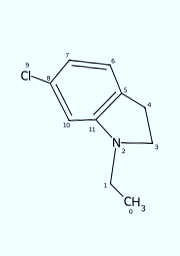 CCN1CCc2ccc(Cl)cc21